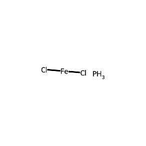 P.[Cl][Fe][Cl]